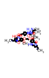 C/C=C/C1=CN2C(=O)c3cc(OC)c(OCCCOc4cc5c(cc4OC)C(=O)N4C=C(/C=C/C)C[C@H]4[C@H](O)N5C(=O)OCc4ccc(NC(=O)[C@@H](C)NC(=O)[C@H](N)C(C)C)cc4)cc3NC=C2C1